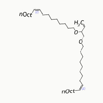 C=CC(COCCCCCCCC/C=C\CCCCCCCC)OCCCCCCCC/C=C\CCCCCCCC